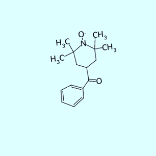 CC1(C)CC(C(=O)c2ccccc2)CC(C)(C)N1[O]